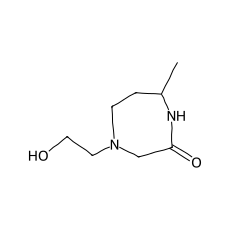 CC1CCN(CCO)CC(=O)N1